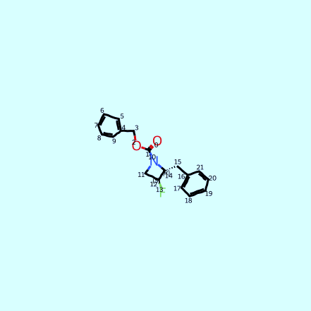 O=C(OCc1ccccc1)N1C[C@H](F)[C@H]1Cc1ccccc1